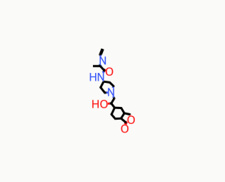 C=C/N=C(\C)C(=O)NC1CCN(CC(O)C2CCC3C(=O)OCC3C2)CC1